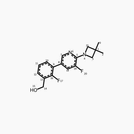 CC1(C)CN(c2ncc(-c3cccc(CO)c3F)cc2F)C1